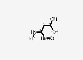 CCNC(CC(O)O)NCC